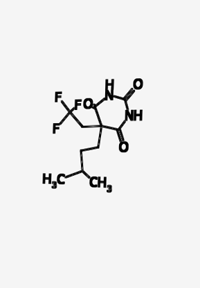 CC(C)CCC1(CC(F)(F)F)C(=O)NC(=O)NC1=O